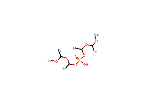 CCCCOC(CC)OC(CC)OP(=O)(O)OC(CC)OC(CC)OCCCC